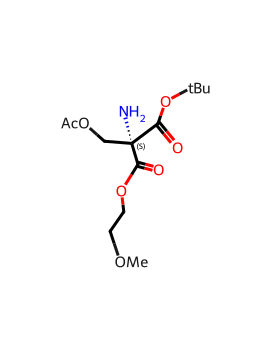 COCCOC(=O)[C@@](N)(COC(C)=O)C(=O)OC(C)(C)C